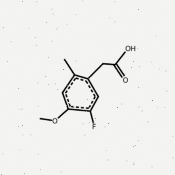 COc1cc(C)c(CC(=O)O)cc1F